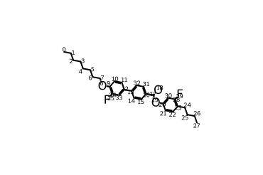 CCCCCCCCOc1ccc(-c2ccc(C(=O)Oc3ccc(CCCC)c(F)c3)cc2)cc1F